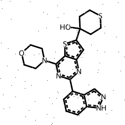 OC1(c2cc3nc(-c4cccc5[nH]ncc45)nc(N4CCOCC4)c3s2)CCSCC1